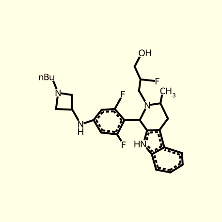 CCCCN1CC(Nc2cc(F)c(C3c4[nH]c5ccccc5c4CC(C)N3CC(F)CO)c(F)c2)C1